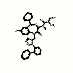 CN(C(=O)C(N)CS)C1N=C(c2ccccc2)c2cc(Cl)ccc2N(CN2C=NNN2c2ccccc2-c2ccccc2)C1=O